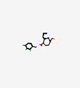 O=C(NCc1ccc(Cl)c(F)c1F)[C@]1(F)CC[C@@](O)(CO)c2ncccc21